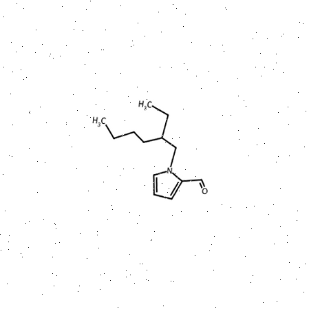 CCCCC(CC)Cn1cccc1C=O